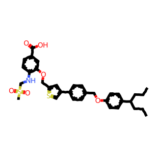 CCCC(CCC)c1ccc(OCc2ccc(-c3csc(COc4cc(C(=O)O)ccc4NCS(C)(=O)=O)c3)cc2)cc1